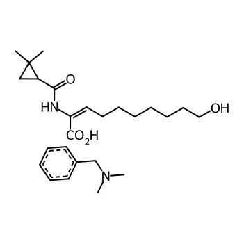 CC1(C)CC1C(=O)NC(=CCCCCCCCO)C(=O)O.CN(C)Cc1ccccc1